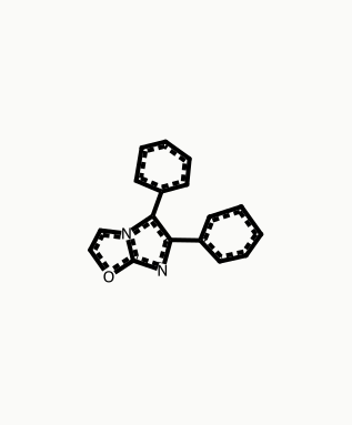 c1ccc(-c2nc3occn3c2-c2ccccc2)cc1